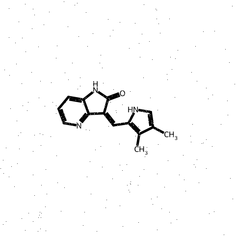 Cc1c[nH]c(C=C2C(=O)Nc3cccnc32)c1C